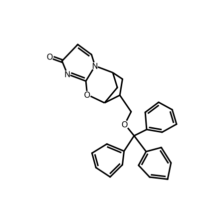 O=c1ccn2c(n1)OC1CC2CC1COC(c1ccccc1)(c1ccccc1)c1ccccc1